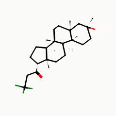 C[C@@]1(O)CC[C@@H]2[C@H]3CC[C@]4(C)[C@@H](C(=O)CC(F)(F)F)CC[C@H]4[C@@H]3CC[C@]2(C)C1